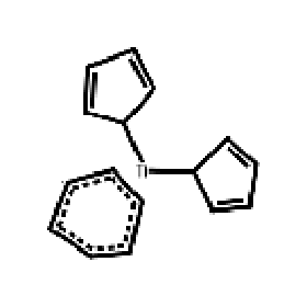 C1=C[CH]([Ti][CH]2C=CC=C2)C=C1.[c]1ccccc1